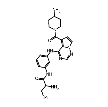 CC(C)CC(N)C(=O)Nc1cccc(Nc2ncnn3ccc(C(=O)N4CCC(N)CC4)c23)c1